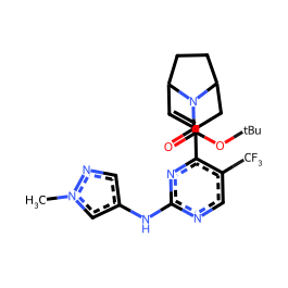 Cn1cc(Nc2ncc(C(F)(F)F)c(C3=CC4CCC(C3)N4C(=O)OC(C)(C)C)n2)cn1